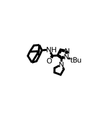 CC(C)(C)n1ncc(C(=O)NC2C3CC4CC(C3)CC2C4)c1N1CCCC1